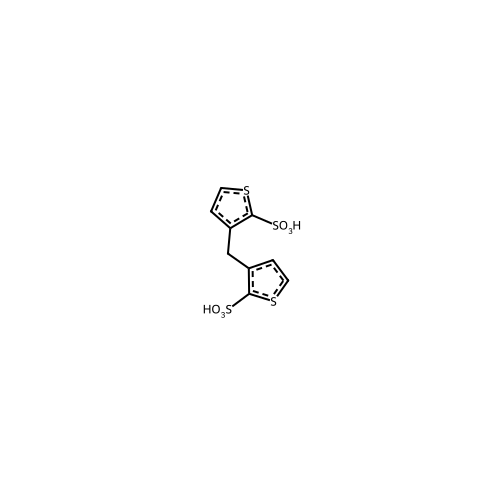 O=S(=O)(O)c1sccc1Cc1ccsc1S(=O)(=O)O